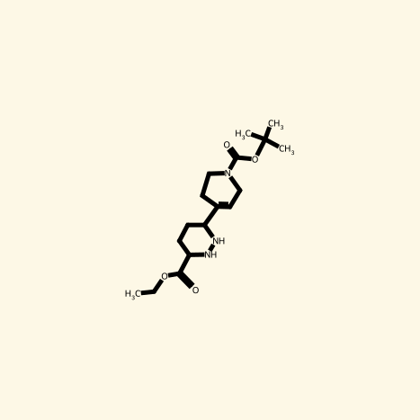 CCOC(=O)C1CCC(C2=CCN(C(=O)OC(C)(C)C)CC2)NN1